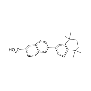 CC1(C)CCC(C)(C)c2cc(-c3ccc4cc(C(=O)O)ccc4c3)ccc21